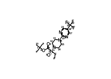 CC[N+]([O-])(C(=O)OC(C)(C)C)N1CCN(c2ncc(C(F)(F)F)cn2)CC1